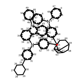 c1ccc(N(c2ccccc2)c2ccc(C3(c4ccc(N(c5ccc(C6CCCCC6)cc5)c5cccc6c5c5ccccc5n6-c5ccccc5)cc4)C4CCC5CC(C4)CC3C5)cc2)cc1